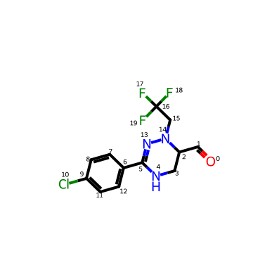 O=CC1CNC(c2ccc(Cl)cc2)=NN1CC(F)(F)F